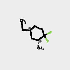 CC[C@H]1CCC(F)(F)[C@H](C)C1